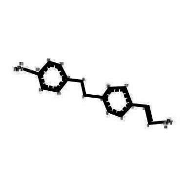 CCCC=Cc1ccc(CCc2ccc(CCC)cc2)cc1